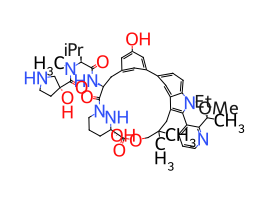 CCn1c(-c2cccnc2[C@H](C)OC)c2c3cc(ccc31)-c1cc(O)cc(c1)C[C@H](NC(=O)[C@H](C(C)C)N(C)C(=O)[C@@]1(O)CCNC1)C(=O)N1CCC[C@@](O)(N1)C(=O)OCC(C)(C)C2